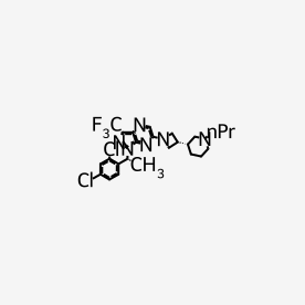 CCCN1CCC[C@H](C2CN(c3cnc4c(C(F)(F)F)nn([C@H](C)c5ccc(Cl)cc5Cl)c4n3)C2)C1